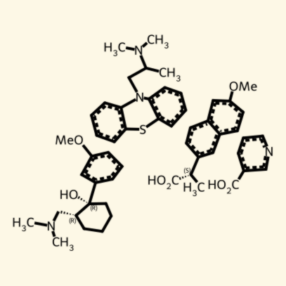 CC(CN1c2ccccc2Sc2ccccc21)N(C)C.COc1ccc2cc([C@H](C)C(=O)O)ccc2c1.COc1cccc([C@@]2(O)CCCC[C@@H]2CN(C)C)c1.O=C(O)c1cccnc1